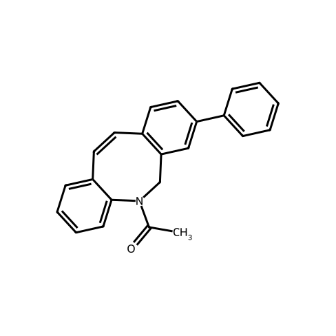 CC(=O)N1Cc2cc(-c3ccccc3)ccc2C=Cc2ccccc21